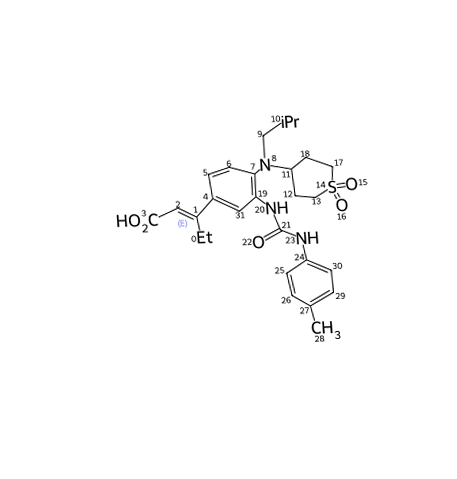 CC/C(=C\C(=O)O)c1ccc(N(CC(C)C)C2CCS(=O)(=O)CC2)c(NC(=O)Nc2ccc(C)cc2)c1